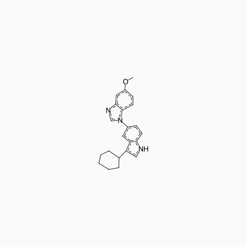 COc1ccc2c(c1)ncn2-c1ccc2[nH]cc(C3CCCCC3)c2c1